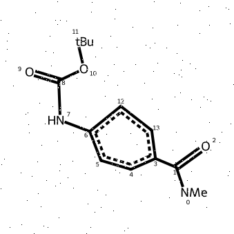 CNC(=O)c1ccc(NC(=O)OC(C)(C)C)cc1